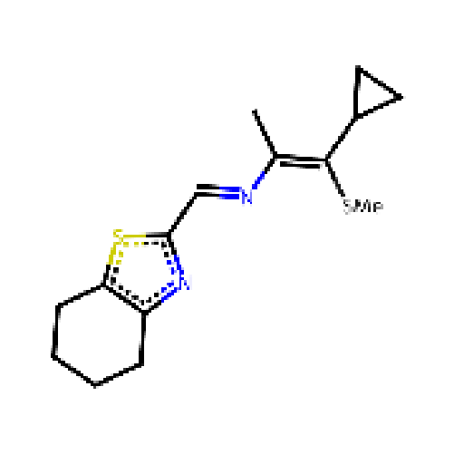 CS/C(=C(C)\N=C\c1nc2c(s1)CCCC2)C1CC1